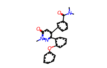 CN(C)C(=O)c1cccc(-c2cc(=O)n(C)nc2-c2ccccc2Oc2ccccc2)c1